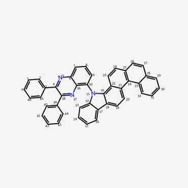 c1ccc(-c2nc3cccc(-n4c5ccccc5c5ccc6c(ccc7ccc8ccccc8c76)c54)c3nc2-c2ccccc2)cc1